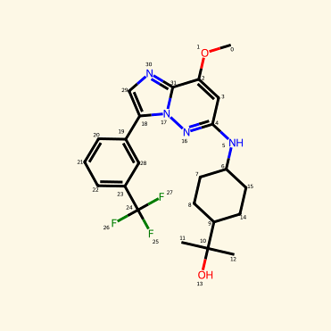 COc1cc(NC2CCC(C(C)(C)O)CC2)nn2c(-c3cccc(C(F)(F)F)c3)cnc12